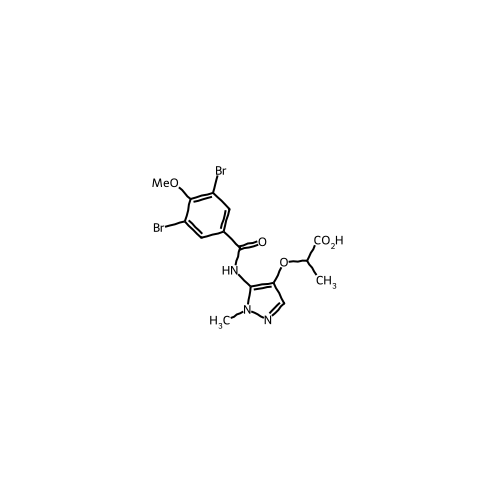 COc1c(Br)cc(C(=O)Nc2c(OC(C)C(=O)O)cnn2C)cc1Br